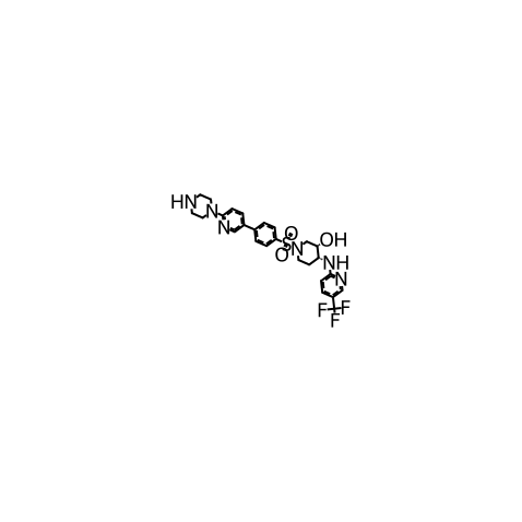 O=S(=O)(c1ccc(-c2ccc(N3CCNCC3)nc2)cc1)N1CC[C@@H](Nc2ccc(C(F)(F)F)cn2)[C@@H](O)C1